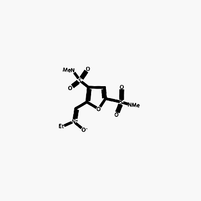 CC[N+]([O-])=Cc1oc(S(=O)(=O)NC)cc1S(=O)(=O)NC